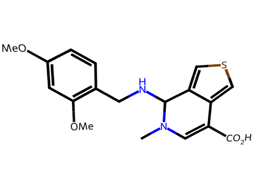 COc1ccc(CNC2c3cscc3C(C(=O)O)=CN2C)c(OC)c1